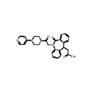 O=C(O)CC1c2ccccc2C(=O)N(CC(=O)N2CCN(c3ccncc3)CC2)c2ccccc21